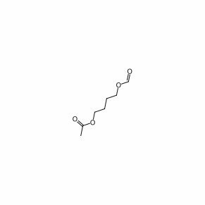 CC(=O)OCCCCOC=O